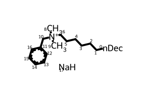 CCCCCCCCCCCCCCCC[N+](C)(C)Cc1ccccc1.[NaH]